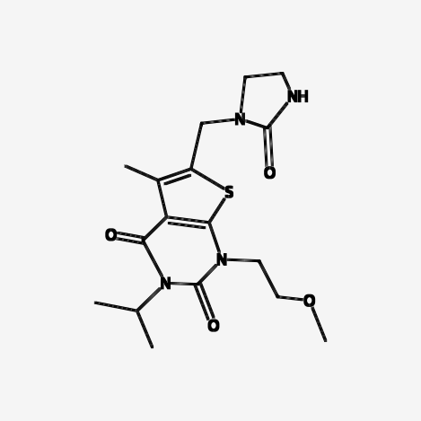 COCCn1c(=O)n(C(C)C)c(=O)c2c(C)c(CN3CCNC3=O)sc21